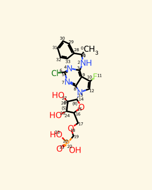 C[C@@H](Nc1nc(Cl)nc2c1c(F)cn2[C@@H]1OC(COCP(=O)(O)O)[C@@H](O)[C@H]1O)c1ccccc1